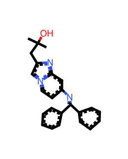 CC(C)(O)Cc1cn2ccc(N=C(c3ccccc3)c3ccccc3)cc2n1